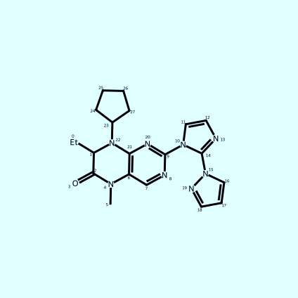 CCC1C(=O)N(C)c2cnc(-n3ccnc3-n3cccn3)nc2N1C1CCCC1